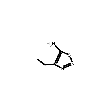 C[CH]c1nnsc1N